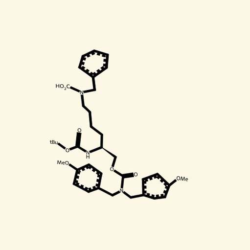 COc1ccc(CN(Cc2ccc(OC)cc2)C(=O)OC[C@H](CCCCN(Cc2ccccc2)C(=O)O)NC(=O)OC(C)(C)C)cc1